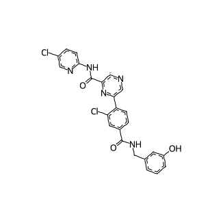 O=C(NCc1cccc(O)c1)c1ccc(-c2cn[c]c(C(=O)Nc3ccc(Cl)cn3)n2)c(Cl)c1